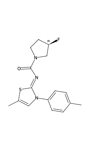 Cc1ccc(-n2cc(C)sc2=NC(=O)N2CC[C@@H](F)C2)cc1